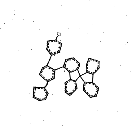 Clc1ccc(-c2ccc(-c3ccccc3)cc2-c2cccc3c2-c2ccccc2C32c3ccccc3-c3ccccc32)cc1